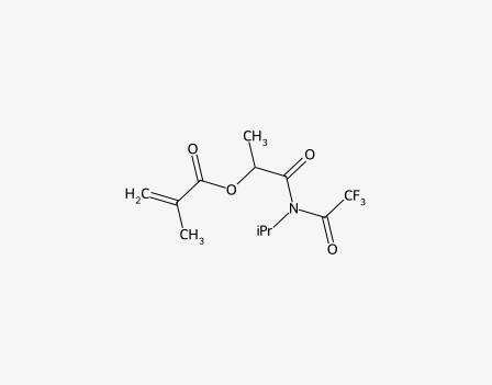 C=C(C)C(=O)OC(C)C(=O)N(C(=O)C(F)(F)F)C(C)C